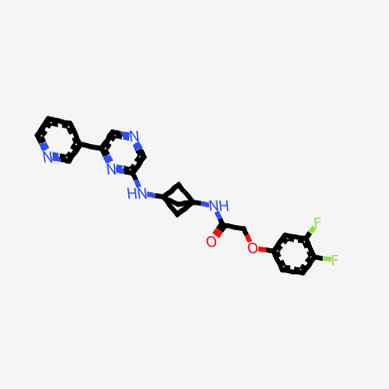 O=C(COc1ccc(F)c(F)c1)NC12CC(Nc3cncc(-c4cccnc4)n3)(C1)C2